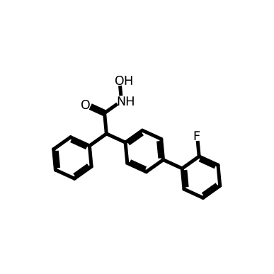 O=C(NO)C(c1ccccc1)c1ccc(-c2ccccc2F)cc1